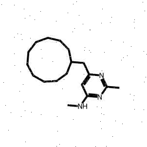 CNc1cc(CC2CCCCCCCCCC2)nc(C)n1